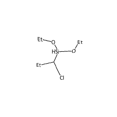 CCO[SiH](OCC)C(Cl)CC